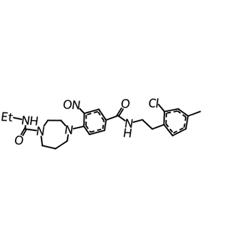 CCNC(=O)N1CCCN(c2ccc(C(=O)NCCc3ccc(C)cc3Cl)cc2N=O)CC1